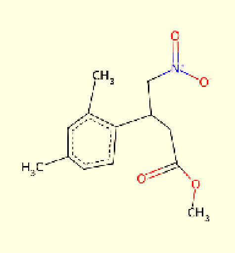 COC(=O)CC(C[N+](=O)[O-])c1ccc(C)cc1C